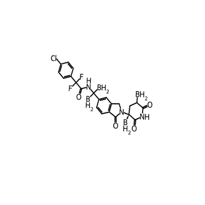 BC1C[C@@](B)(N2Cc3cc(C(B)(B)NC(=O)C(F)(F)c4ccc(Cl)cc4)ccc3C2=O)C(=O)NC1=O